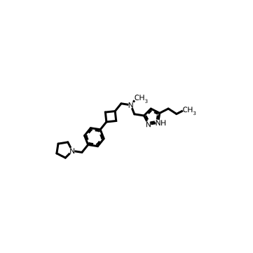 CCCc1cc(CN(C)CC2CC(c3ccc(CN4CCCC4)cc3)C2)n[nH]1